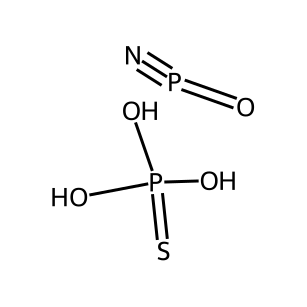 N#P=O.OP(O)(O)=S